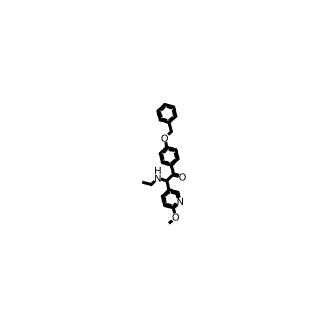 CCNC(C(=O)c1ccc(OCc2ccccc2)cc1)c1ccc(OC)nc1